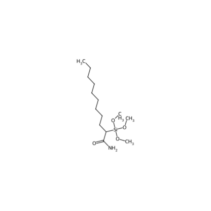 CCCCCCCCCC(C(N)=O)[Si](OC)(OC)OC